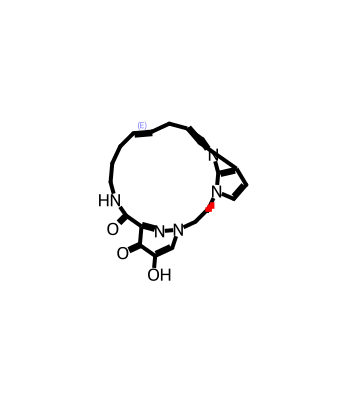 O=C1NCCC/C=C/Cc2cnc3c(ccn3C3(CCCC3)Cn3cc(O)c(=O)c1n3)c2